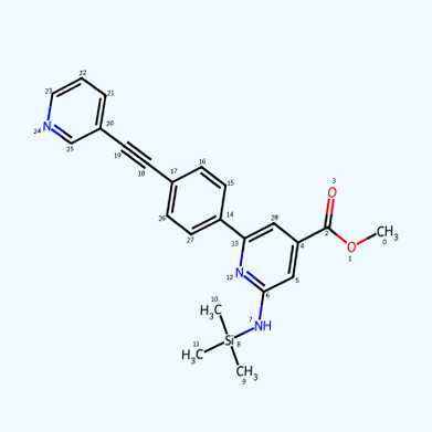 COC(=O)c1cc(N[Si](C)(C)C)nc(-c2ccc(C#Cc3cccnc3)cc2)c1